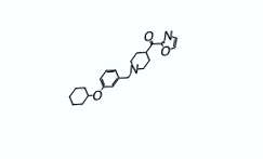 O=C(c1ncco1)C1CCN(Cc2cccc(OC3CCCCC3)c2)CC1